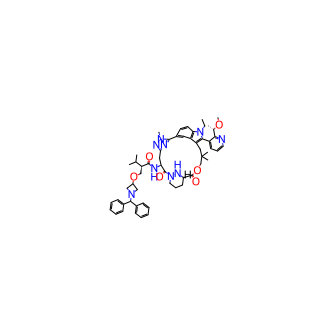 CCn1c(-c2cccnc2[C@H](C)OC)c2c3cc(ccc31)-c1nc(nn1C)C[C@H](NC(=O)[C@@H](COC1CN(C(c3ccccc3)c3ccccc3)C1)C(C)C)C(=O)N1CCC[C@H](N1)C(=O)OCC(C)(C)C2